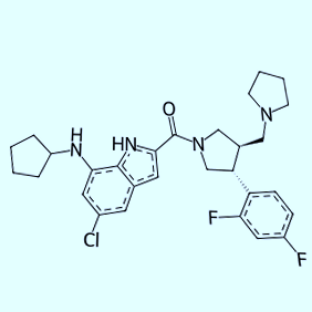 O=C(c1cc2cc(Cl)cc(NC3CCCC3)c2[nH]1)N1C[C@@H](CN2CCCC2)[C@H](c2ccc(F)cc2F)C1